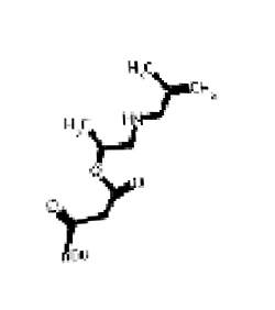 C=C(C)CNCC(C)OC(=O)CC(=O)CCCC